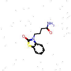 NC(=O)CCCn1c(=O)sc2ccccc21